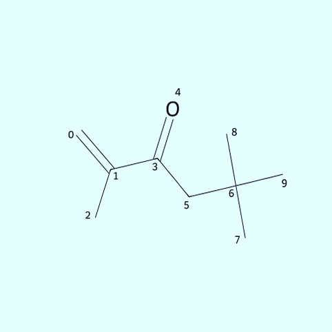 C=C(C)C(=O)CC(C)(C)C